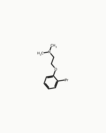 CC(C)c1ccccc1OCCN(C)C